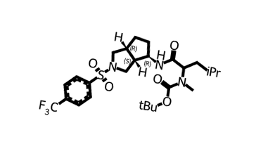 CC(C)CC(C(=O)N[C@@H]1CC[C@H]2CN(S(=O)(=O)c3ccc(C(F)(F)F)cc3)C[C@H]21)N(C)C(=O)OC(C)(C)C